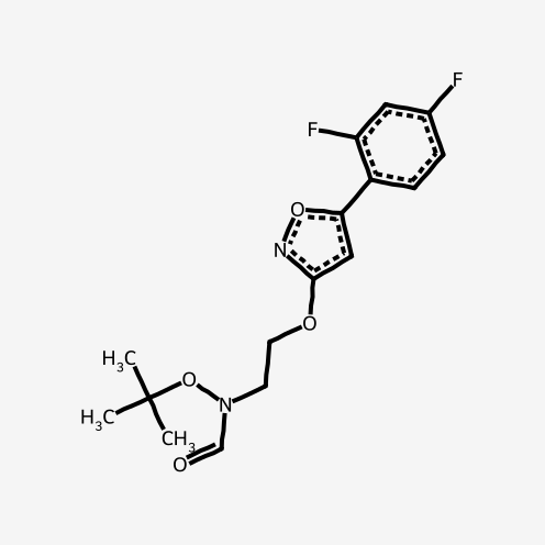 CC(C)(C)ON(C=O)CCOc1cc(-c2ccc(F)cc2F)on1